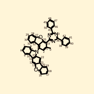 Cc1cc(-n2c3ccccc3c3cc4oc5ccccc5c4cc32)c2c(oc3ccccc32)c1-c1nc(-c2ccccc2)nc(-c2ccccc2)n1